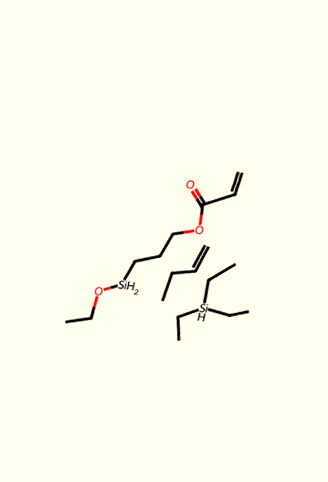 C=CC(=O)OCCC[SiH2]OCC.C=CCC.CC[SiH](CC)CC